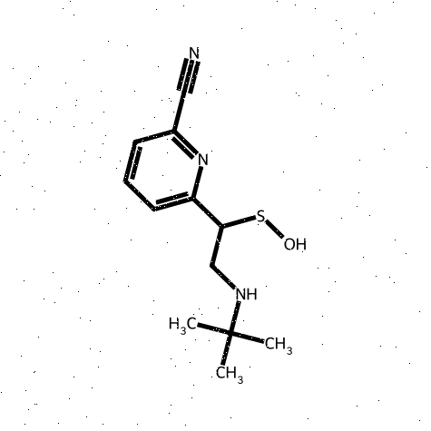 CC(C)(C)NCC(SO)c1cccc(C#N)n1